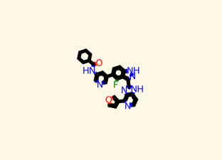 O=C(Nc1cncc(-c2ccc3[nH]nc(-c4nc5c(-c6ccoc6)nccc5[nH]4)c3c2F)c1)C1CCCCC1